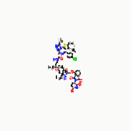 Cc1sc2c(c1C)C(c1ccc(Cl)cc1)=N[C@@H](CC(=O)NCCC(C)(C)OCCC(C)(C)NC(=O)COc1cccc3c1C(=O)N(C1CCC(=O)NC1=O)C3=O)c1nnc(C)n1-2